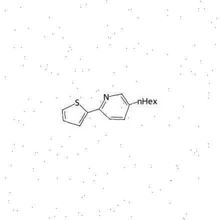 CCCCCCc1ccc(-c2cccs2)nc1